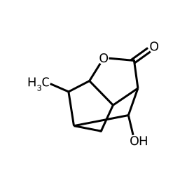 CC1C2CC3C1OC(=O)C3C2O